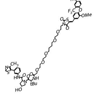 COc1cc(/C=C2\SC(=O)N(CCOCCOCCCCOCCOCCOCC(=O)N[C@H](C(=O)N3C[C@H](O)CC3C(=O)Nc3cccc(-c4scnc4C)c3)C(C)(C)C)C2=O)ccc1Oc1ccc(C#N)cc1C(F)(F)F